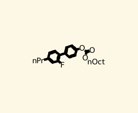 CCCCCCCCOC(=O)Oc1ccc(-c2ccc(CCC)cc2F)cc1